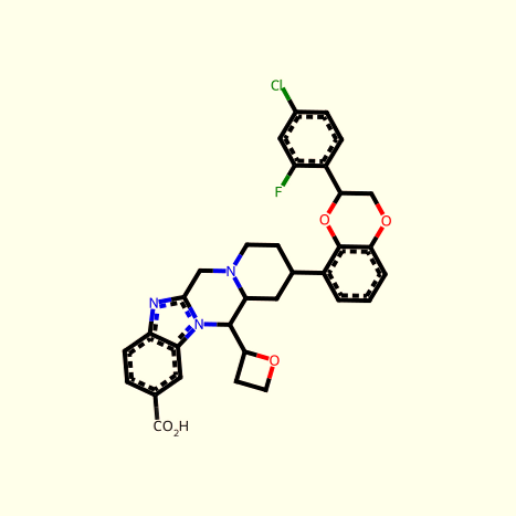 O=C(O)c1ccc2nc3n(c2c1)C(C1CCO1)C1CC(c2cccc4c2OC(c2ccc(Cl)cc2F)CO4)CCN1C3